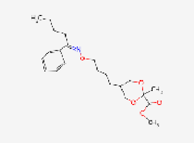 CCCCC(=NOCCCCC1COC(C)(C(=O)OC)OC1)c1ccccc1